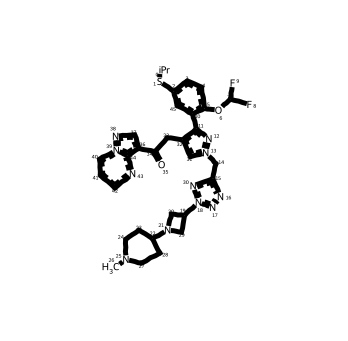 CC(C)Sc1ccc(OC(F)F)c(-c2nn(Cc3nnn(C4CN(C5CCN(C)CC5)C4)n3)cc2CC(=O)c2cnn3cccnc23)c1